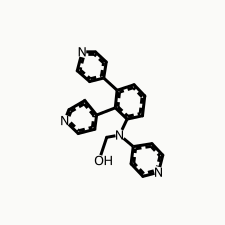 OCN(c1ccncc1)c1cccc(-c2ccncc2)c1-c1ccncc1